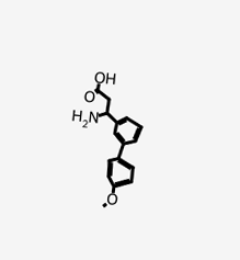 COc1ccc(-c2cccc(C(N)CC(=O)O)c2)cc1